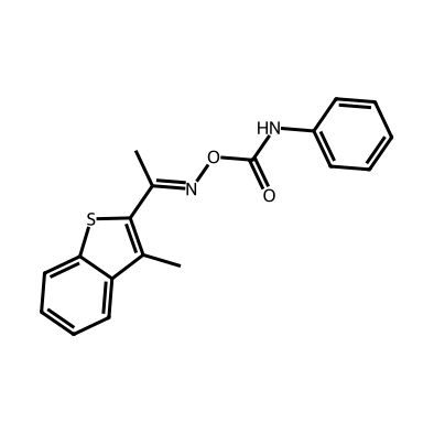 CC(=NOC(=O)Nc1ccccc1)c1sc2ccccc2c1C